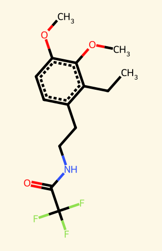 CCc1c(CCNC(=O)C(F)(F)F)ccc(OC)c1OC